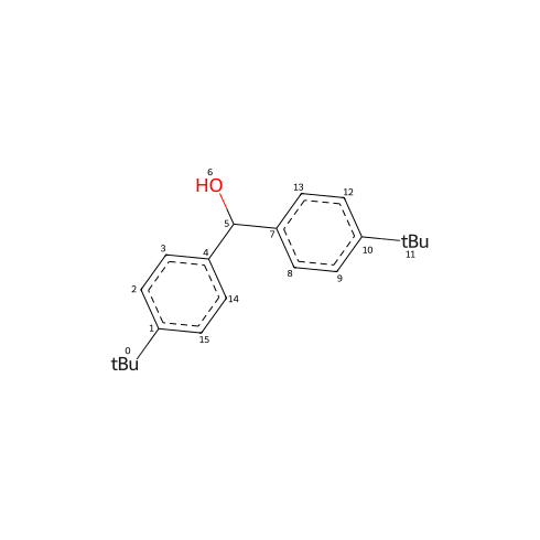 CC(C)(C)c1ccc(C(O)c2ccc(C(C)(C)C)cc2)cc1